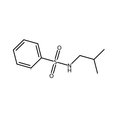 CC(C)CNS(=O)(=O)c1[c]cccc1